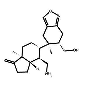 C=C1CC[C@H]2[C@H](CN)[C@@H]([C@@]3(C)Cc4conc4C[C@@H]3CO)CC[C@]12C